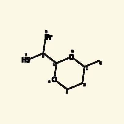 CC1CCOC(C(S)C(C)C)O1